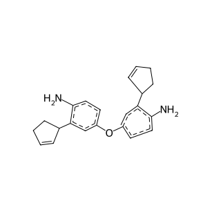 Nc1ccc(Oc2ccc(N)c(C3C=CCC3)c2)cc1C1C=CCC1